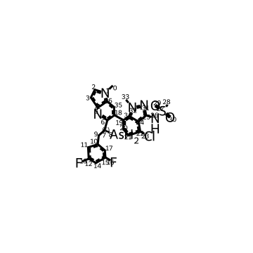 Cn1ccc2nc([C@@H]([AsH2])Cc3cc(F)cc(F)c3)c(-c3ccc(Cl)c4c(NS(C)(=O)=O)nn(C)c34)cc21